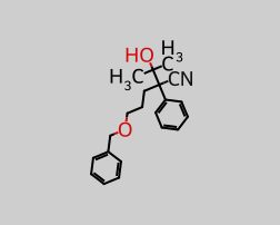 CC(C)(O)C(C#N)(CCCOCc1ccccc1)c1ccccc1